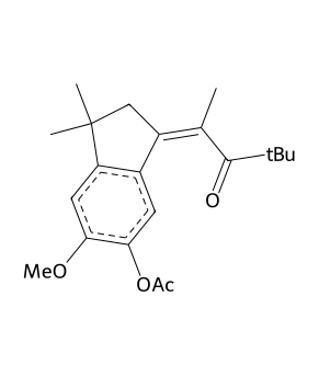 COc1cc2c(cc1OC(C)=O)C(=C(C)C(=O)C(C)(C)C)CC2(C)C